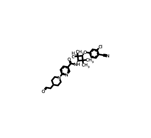 CC1(C)[C@H](NC(=O)c2ccc(N3CCC(CC=O)CC3)nc2)C(C)(C)[C@H]1Oc1ccc(C#N)c(Cl)c1